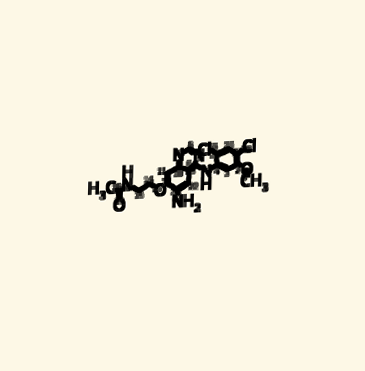 COc1cc(Nc2ncnc3cc(OCCNC(C)=O)c(N)cc23)c(Cl)cc1Cl